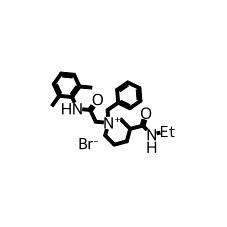 CCNC(=O)C1CCC[N+](CC(=O)Nc2c(C)cccc2C)(Cc2ccccc2)C1.[Br-]